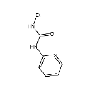 CCNC(=O)Nc1[c]cccc1